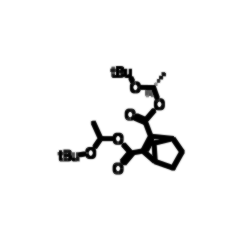 CC(OC(=O)C1=C(C(=O)O[C@@H](C)OC(C)(C)C)C2CCC1C2)OC(C)(C)C